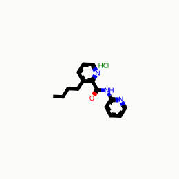 CCCCc1cccnc1C(=O)Nc1ccccn1.Cl